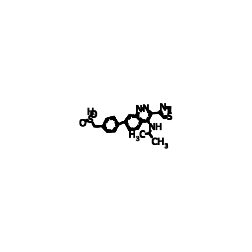 CC(C)Nc1c(-c2cscn2)nnc2cc(-c3ccc(C[SH](=O)=O)cc3)ccc12